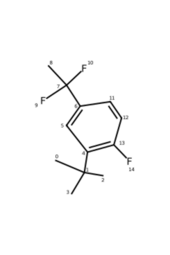 CC(C)(C)c1cc(C(C)(F)F)ccc1F